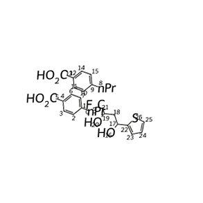 CCCc1ccc(C(=O)O)cc1.CCCc1ccc(C(=O)O)cc1.OC(CC(O)C(F)(F)F)c1cccs1